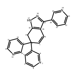 C1=CC(c2cccnc2)(c2cccnc2)Cc2[nH]nc(-c3cccnc3)c21